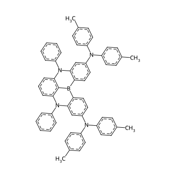 Cc1ccc(N(c2ccc(C)cc2)c2ccc3c(c2)N(c2ccccc2)c2cccc4c2B3c2ccc(N(c3ccc(C)cc3)c3ccc(C)cc3)cc2N4c2ccccc2)cc1